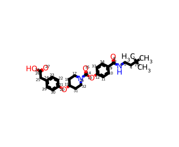 CC(C)(C)CCNC(=O)c1ccc(OC(=O)N2CCC(Oc3ccc(CC(=O)O)cc3)CC2)cc1